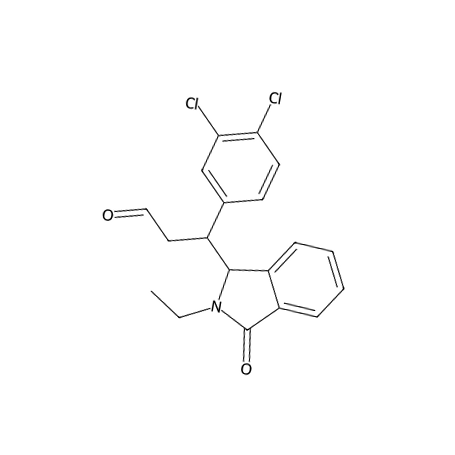 CCN1C(=O)c2ccccc2C1C(CC=O)c1ccc(Cl)c(Cl)c1